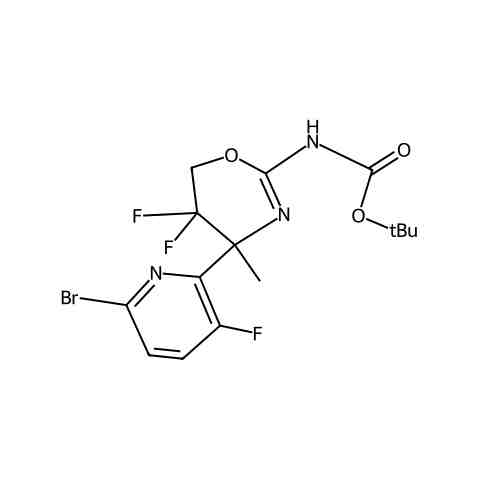 CC(C)(C)OC(=O)NC1=NC(C)(c2nc(Br)ccc2F)C(F)(F)CO1